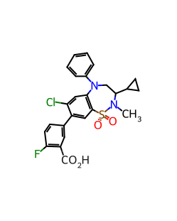 CN1C(C2CC2)CN(c2ccccc2)c2cc(Cl)c(-c3ccc(F)c(C(=O)O)c3)cc2S1(=O)=O